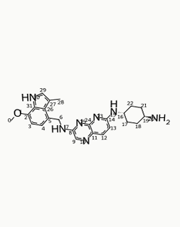 COc1ccc(CNc2cnc3ccc(N[C@H]4CC[C@H](N)CC4)nc3n2)c2c(C)c[nH]c12